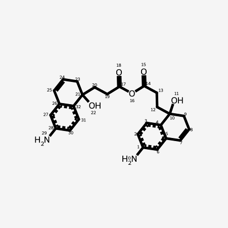 Nc1ccc2c(c1)C=CCC2(O)CCC(=O)OC(=O)CCC1(O)CC=Cc2cc(N)ccc21